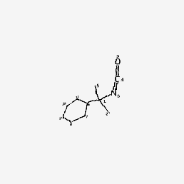 CC(C)(N=C=O)C1CCCCC1